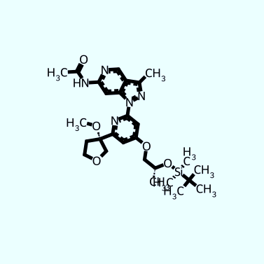 CO[C@@]1(c2cc(OC[C@@H](C)O[Si](C)(C)C(C)(C)C)cc(-n3nc(C)c4cnc(NC(C)=O)cc43)n2)CCOC1